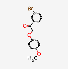 COc1ccc(OCC(=O)c2cccc(Br)c2)cc1